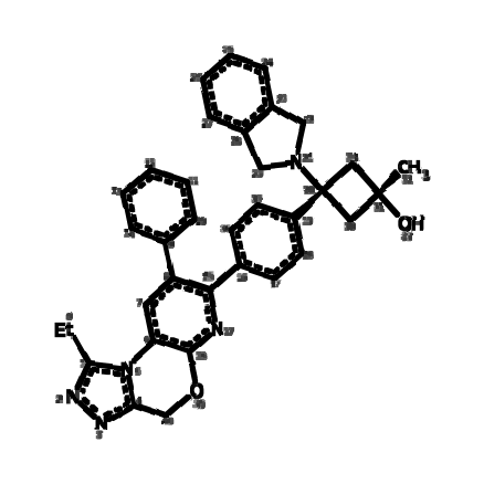 CCc1nnc2n1-c1cc(-c3ccccc3)c(-c3ccc([C@]4(N5Cc6ccccc6C5)C[C@@](C)(O)C4)cc3)nc1OC2